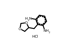 Cl.Nc1cccc(N)c1CC1COCO1